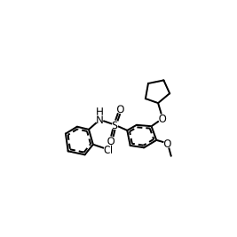 COc1ccc(S(=O)(=O)Nc2ccccc2Cl)cc1OC1CCCC1